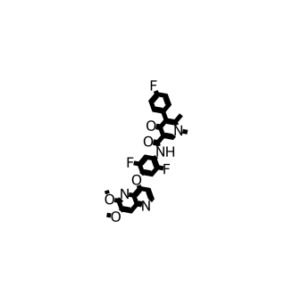 COc1cc2nccc(Oc3cc(F)c(NC(=O)c4cn(C)c(C)c(-c5ccc(F)cc5)c4=O)cc3F)c2nc1OC